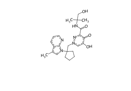 Cc1cn(C2(Cn3cc(O)c(=O)c(C(=O)NC(C)(C)CO)n3)CCCC2)c2ncccc12